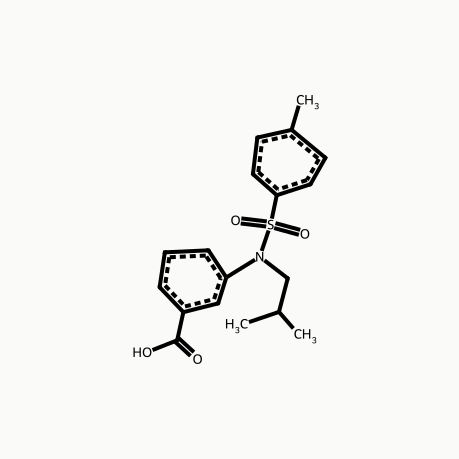 Cc1ccc(S(=O)(=O)N(CC(C)C)c2cccc(C(=O)O)c2)cc1